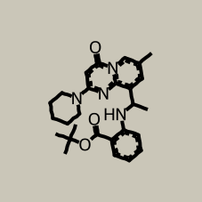 Cc1cc(C(C)Nc2ccccc2C(=O)OC(C)(C)C)c2nc(N3CCCCC3)cc(=O)n2c1